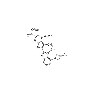 COC(=O)c1cc(OC)c2c(c1)nc(-c1cc3cccc(C4CN(C(C)=O)C4)c3n1C1CC1)n2C